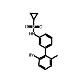 Cc1cccc(C(C)C)c1-c1cccc(NS(=O)(=O)C2CC2)c1